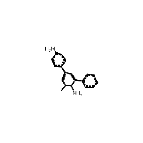 CC1C=C(c2ccc(N)cc2)C=C(c2ccccc2)C1N